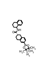 CC1(C)OB(c2ccc3c(c2)CC[C@H](C(=O)NC2CCCc4ccccc42)C3)OC1(C)C